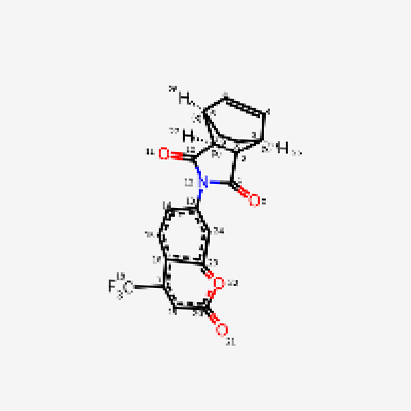 O=C1C2[C@@H]3C=C[C@@H](CC3)[C@@H]2C(=O)N1c1ccc2c(C(F)(F)F)cc(=O)oc2c1